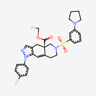 O=C(OCF)[C@]12Cc3cnn(-c4ccc(F)cc4)c3C=C1CCN(S(=O)(=O)c1cccc(N3CCCC3)c1)C2